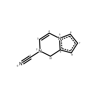 N#CN1C=Cn2cccc2C1